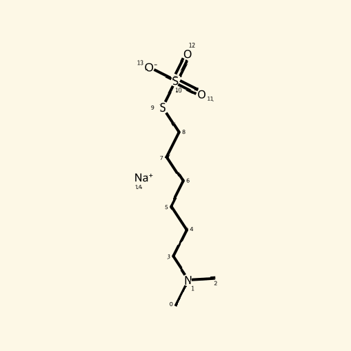 CN(C)CCCCCCSS(=O)(=O)[O-].[Na+]